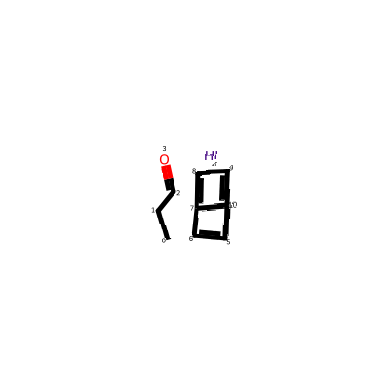 CCC=O.I.c1cc2ccc1-2